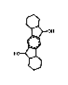 OC1c2cc3c(cc2C2CCCCC12)C(O)C1CCCCC31